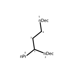 [CH2]CCC(CCCCCCCCCC)CCCCCCCCCCCC